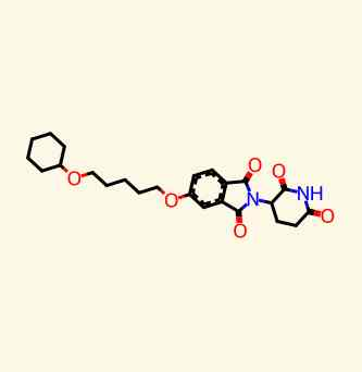 O=C1CCC(N2C(=O)c3ccc(OCCCCCOC4CCCCC4)cc3C2=O)C(=O)N1